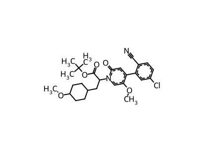 COc1cn(C(CC2CCC(OC)CC2)C(=O)OC(C)(C)C)c(=O)cc1-c1cc(Cl)ccc1C#N